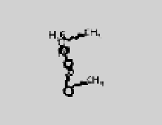 CCCCCC[C@H](C)Oc1ccc(-c2ccc(OCCCC3CCCCC3CCCCC)cc2)nc1